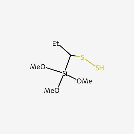 CCC(SS)[Si](OC)(OC)OC